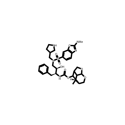 CNc1nc2ccc(S(=O)(=O)N(CC3CCNC3)C[C@@H](O)[C@H](Cc3ccccc3)NC(=O)OC3C4COC5OCC3[C@H](C)C54)cc2o1